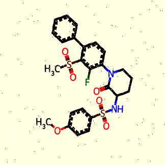 COc1ccc(S(=O)(=O)NC2CCCN(c3ccc(-c4ccccc4)c(S(C)(=O)=O)c3F)C2=O)cc1